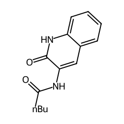 CCCCC(=O)Nc1cc2ccccc2[nH]c1=O